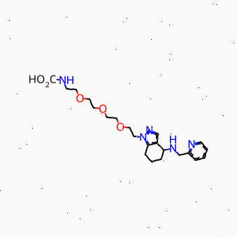 O=C(O)NCCOCCOCCOCCn1ncc2c1CCCC2NCc1ccccn1